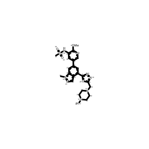 COc1ncc(-c2cc(-c3nnc(CN4CCN(C(C)C)CC4)o3)c3cnn(C)c3c2)cc1NS(C)(=O)=O